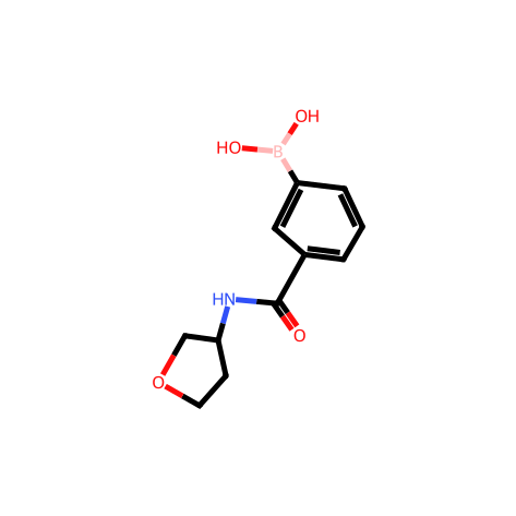 O=C(NC1CCOC1)c1cccc(B(O)O)c1